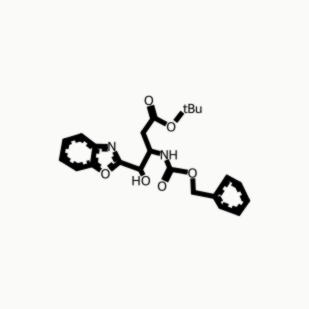 CC(C)(C)OC(=O)CC(NC(=O)OCc1ccccc1)C(O)c1nc2ccccc2o1